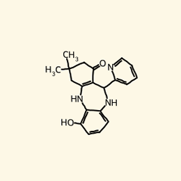 CC1(C)CC(=O)C2=C(C1)Nc1c(O)cccc1NC2c1ccccn1